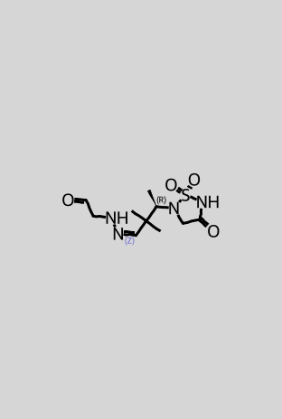 C[C@@H](N1CC(=O)NS1(=O)=O)C(C)(C)/C=N\NCC=O